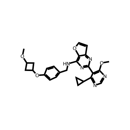 COc1ncnc(C2CC2)c1-c1nc(NCc2ccc(OC3CC(OC)C3)cc2)c2occc2n1